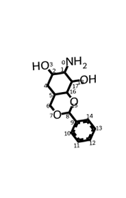 NC1C(O)CC2COC(c3ccccc3)OC2C1O